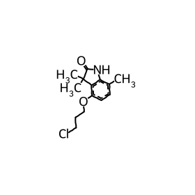 Cc1ccc(OCCCCl)c2c1NC(=O)C2(C)C